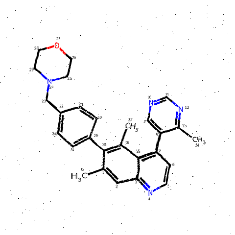 Cc1cc2nccc(-c3cncnc3C)c2c(C)c1-c1ccc(CN2CCOCC2)cc1